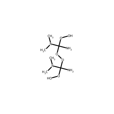 CN(C)C(N)(OO)OOC(N)(OO)N(C)C